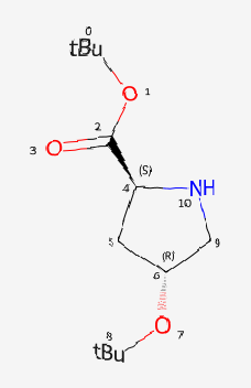 CC(C)(C)OC(=O)[C@@H]1C[C@@H](OC(C)(C)C)CN1